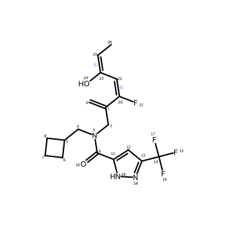 C=C(CN(CC1CCC1)C(=O)c1cc(C(F)(F)F)n[nH]1)/C(F)=C\C(O)=C/C